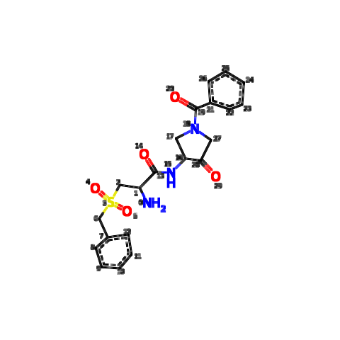 NC(CS(=O)(=O)Cc1ccccc1)C(=O)NC1CN(C(=O)c2ccccc2)CC1=O